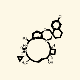 C[C@@H]1C/C=C/[C@H](O)[C@@H]2CC[C@H]2CN2C[C@@]3(CCCc4cc(Cl)ccc43)COc3ccc(cc32)C(O)NS(=O)(=O)[C@H]1C1CC1